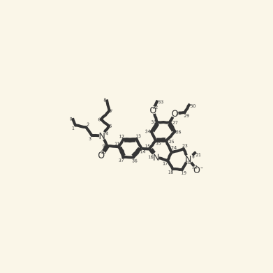 CCCCN(CCCC)C(=O)c1ccc(C2=NC3CC[N+](C)([O-])CC3c3cc(OCC)c(OC)cc32)cc1